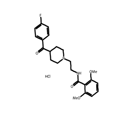 COc1cccc(OC)c1C(=O)NCCN1CCC(C(=O)c2ccc(F)cc2)CC1.Cl